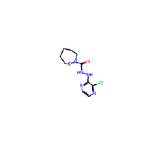 O=C(NNc1nccnc1Cl)N1CCCCCC1